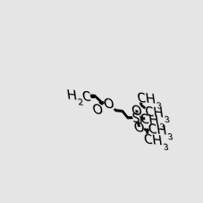 C=CC(=O)OCCC[Si](C)(OC(C)C)OC(C)C